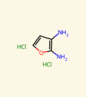 Cl.Cl.Nc1ccoc1N